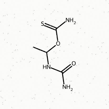 CC(NC(N)=O)OC(N)=S